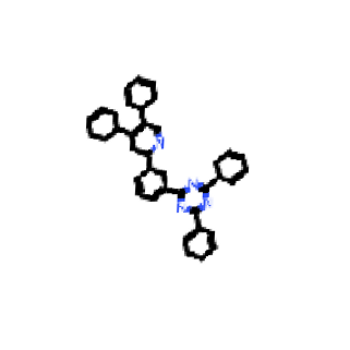 C1=CCC(C2=C(C3CC=CCC3)CC(C3C=CC=C(c4nc(C5=CCCC=C5)nc(C5C=CC=CC5)n4)C3)N=C2)C=C1